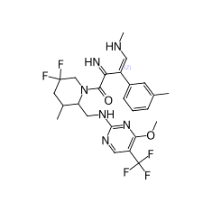 CN/C=C(\C(=N)C(=O)N1CC(F)(F)CC(C)C1CNc1ncc(C(F)(F)F)c(OC)n1)c1cccc(C)c1